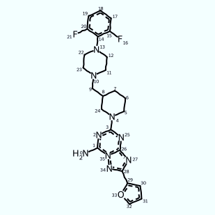 Nc1nc(N2CCCC(CN3CCN(c4c(F)cccc4F)CC3)C2)nc2nc(-c3ccco3)nn12